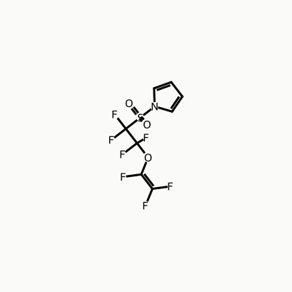 O=S(=O)(n1cccc1)C(F)(F)C(F)(F)OC(F)=C(F)F